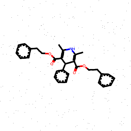 CC1=C(C(=O)OCCc2ccccc2)C(c2ccccc2)C(C(=O)OCCc2ccccc2)=C(C)N1